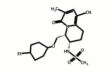 CCC1CCC(OC[C@H]2[C@@H](NS(C)(=O)=O)CCc3c(C#N)cc(C)c(=O)n32)CC1